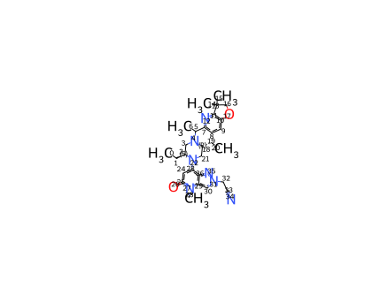 CC[C@H]1CN(C(C)c2ccc3c(n2)C(C)(C)CO3)[C@H](CC)CN1c1cc(=O)n(C)c2cn(CC#N)nc12